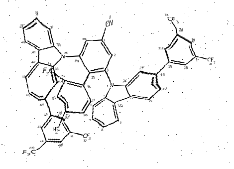 N#Cc1cc(-n2c3ccccc3c3ccc(-c4cc(C(F)(F)F)cc(C(F)(F)F)c4)cc32)c(-c2ccc(C#N)cc2C(F)(F)F)c(-n2c3ccccc3c3ccc(-c4cc(C(F)(F)F)cc(C(F)(F)F)c4)cc32)c1